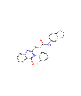 O=C(CSc1nc2ccccc2c(=O)n1-c1ccccc1F)Nc1ccc2c(c1)CCC2